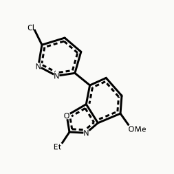 CCc1nc2c(OC)ccc(-c3ccc(Cl)nn3)c2o1